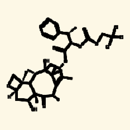 CC1=C2[C@@H](C)C(=O)[C@@]3(C)C([C@H](C)[C@](O)(C[C@@H]1OC(=O)[C@H](OC(=O)OCC(Cl)(Cl)Cl)[C@@H](C)c1ccccc1)C2(C)C)[C@]1(C)CO[C@@H]1C[C@@H]3O